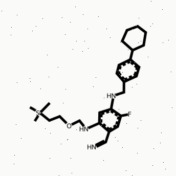 C[Si](C)(C)CCOCNc1cc(NCc2ccc(C3CCCCC3)cc2)c(F)cc1C=N